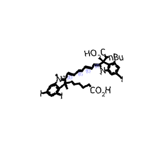 CCCCC(C(=O)O)C1(C)/C(=C/C=C/C=C/C=C/C2=[N+](C)c3cc(I)cc(I)c3C2(C)CCCCCC(=O)O)N(C)c2cc(I)cc(I)c21